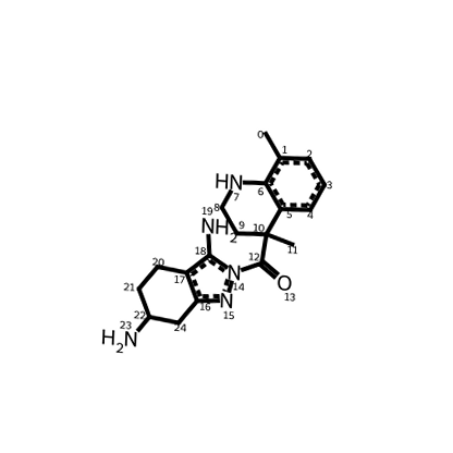 Cc1cccc2c1NCCC2(C)C(=O)n1nc2c(c1N)CCC(N)C2